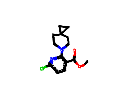 COC(=O)c1ccc(Cl)nc1N1CCC2(CC1)CC2